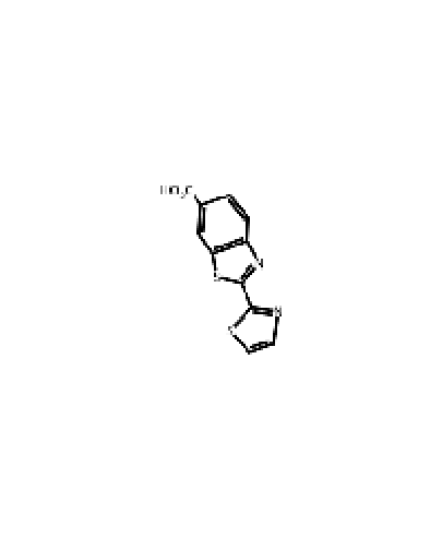 O=C(O)c1ccc2nc(-c3nccs3)sc2c1